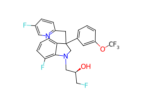 O[C@@H](CF)CN1CC(Cc2ccc(F)cn2)(c2cccc(OC(F)(F)F)c2)c2cccc(F)c21